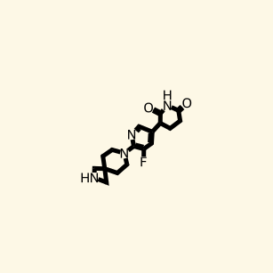 O=C1CCC(c2cnc(N3CCC4(CC3)CNC4)c(F)c2)C(=O)N1